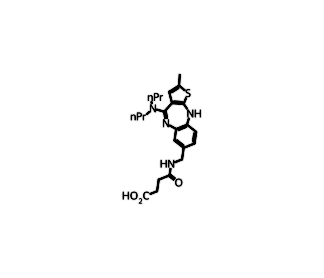 CCCN(CCC)C1=Nc2cc(CNC(=O)CCC(=O)O)ccc2Nc2sc(C)cc21